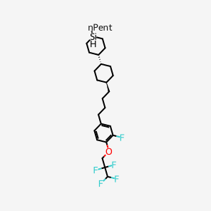 CCCCC[SiH]1CCC([C@H]2CC[C@H](CCCCc3ccc(OCC(F)(F)C(F)F)c(F)c3)CC2)CC1